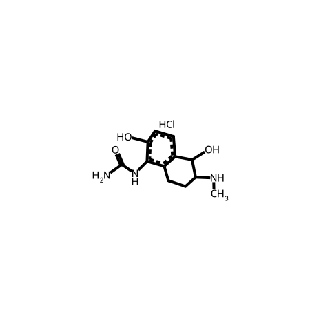 CNC1CCc2c(ccc(O)c2NC(N)=O)C1O.Cl